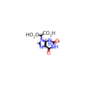 O=C(O)C(C(=O)O)n1cnc2c(=O)[nH]c(=O)[nH]c21